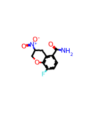 NC(=O)c1ccc(F)c2c1CC([N+](=O)[O-])CO2